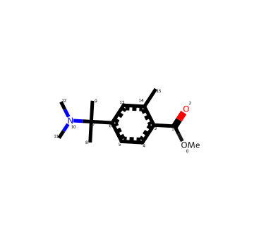 COC(=O)c1ccc(C(C)(C)N(C)C)cc1C